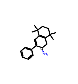 CC1(C)CCC(C)(C)C2=C1C=C(c1ccccc1)[C@H](N)C2